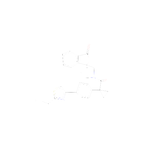 CCc1nc(-c2ccc(C3(C(=O)N4CC[C@@]5(C4)OC(=O)c4ccccc45)CC3)cc2)cs1